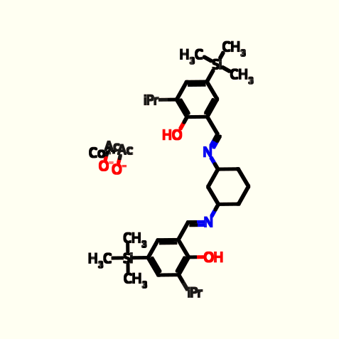 CC(=O)[O-].CC(=O)[O-].CC(C)c1cc([Si](C)(C)C)cc(C=NC2CCCC(N=Cc3cc([Si](C)(C)C)cc(C(C)C)c3O)C2)c1O.[Co+2]